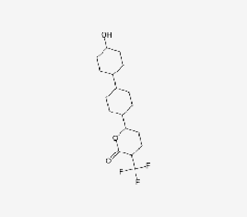 O=C1OC(C2CCC(C3CCC(O)CC3)CC2)CCC1C(F)(F)F